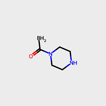 BC(=O)N1CCNCC1